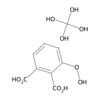 O=C(O)c1cccc(OO)c1C(=O)O.OC(O)(O)O